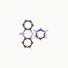 c1ccc2c(c1)Nc1ccccc1O2.c1cncnc1